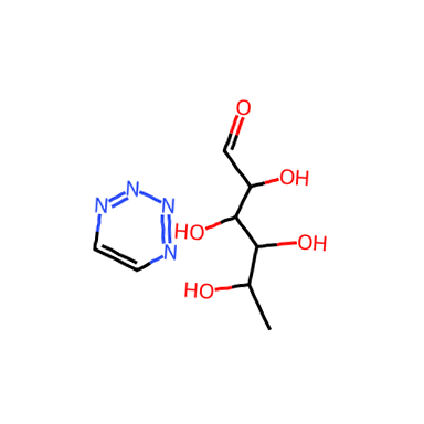 CC(O)C(O)C(O)C(O)C=O.c1cnnnn1